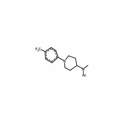 CC(=O)N(C)C1CCN(c2ccc(C(F)(F)F)cc2)CC1